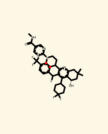 CNC(=O)c1cnc(N2CCC(c3nc4c(c(C5CCC(F)(F)CC5)c3C(F)c3ccc(C(F)(F)F)cc3)[C@@H](O)CC(C)(C)C4)CC2)nc1